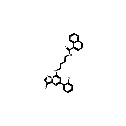 O=C(NCCCCNc1cc(-c2ccccc2Cl)nc2c(Br)cnn12)c1cccc2ccccc12